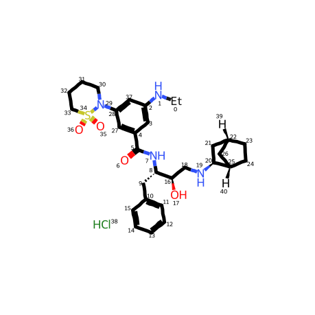 CCNc1cc(C(=O)N[C@@H](Cc2ccccc2)[C@H](O)CN[C@H]2C[C@@H]3CC[C@H]2C3)cc(N2CCCCS2(=O)=O)c1.Cl